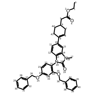 CCOC(=O)CC1CC=C(c2ccc3c(c2)n(C)c(=O)n3-c2ccc(OCc3ccccc3)nc2OCc2ccccc2)CC1